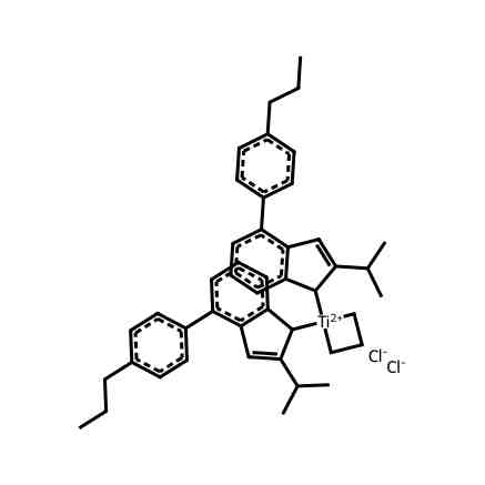 CCCc1ccc(-c2cccc3c2C=C(C(C)C)[CH]3[Ti+2]2([CH]3C(C(C)C)=Cc4c(-c5ccc(CCC)cc5)cccc43)[CH2]C[CH2]2)cc1.[Cl-].[Cl-]